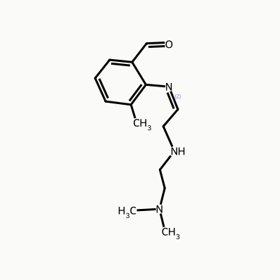 Cc1cccc(C=O)c1/N=C\CNCCN(C)C